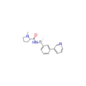 C[C@@H](NC(=O)C1CCCN1C)c1cccc(-c2cccnc2)c1